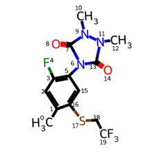 Cc1cc(F)c(-n2c(=O)n(C)n(C)c2=O)cc1SCC(F)(F)F